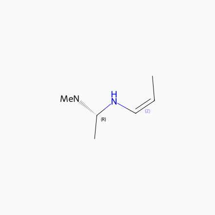 C/C=C\N[C@H](C)NC